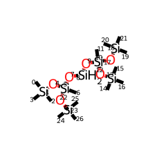 C[Si](C)(C)O[Si](C)(O[SiH2]O[Si](C)(O[Si](C)(C)C)O[Si](C)(C)C)O[Si](C)(C)C